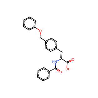 O=C(O)C(=Cc1ccc(COc2ccccc2)cc1)NC(=O)c1ccccc1